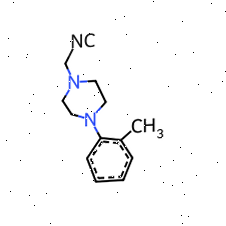 [C-]#[N+]CN1CCN(c2ccccc2C)CC1